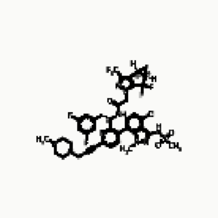 CN1CCN(CC#Cc2ccc(-c3ccc(Cl)c4c(NS(C)(=O)=O)nn(C)c34)c([C@H](Cc3cc(F)cc(F)c3)NC(=O)Cn3nc(C(F)(F)F)c4c3C(F)(F)[C@@H]3C[C@H]43)n2)CC1